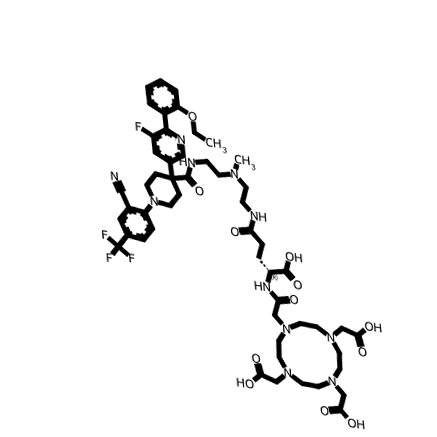 CCOc1ccccc1-c1ncc(C2(C(=O)NCCN(C)CCNC(=O)CC[C@@H](NC(=O)CN3CCN(CC(=O)O)CCN(CC(=O)O)CCN(CC(=O)O)CC3)C(=O)O)CCN(c3ccc(C(F)(F)F)cc3C#N)CC2)cc1F